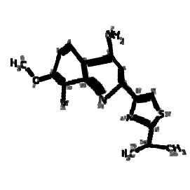 COc1ccc2c(N)cc(-c3csc(C(C)C)n3)nc2c1Br